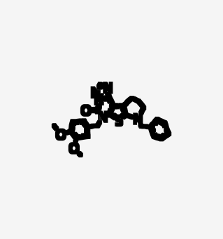 COc1ccc(Cn2c(=O)n3ncnc3c3c4c(sc32)N(Cc2ccccc2)CCC4)cc1OC